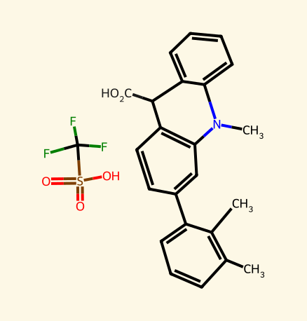 Cc1cccc(-c2ccc3c(c2)N(C)c2ccccc2C3C(=O)O)c1C.O=S(=O)(O)C(F)(F)F